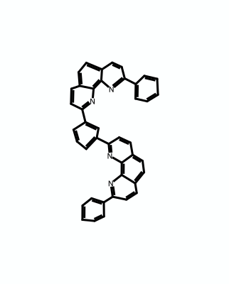 c1ccc(-c2ccc3ccc4ccc(-c5cccc(-c6ccc7ccc8ccc(-c9ccccc9)nc8c7n6)c5)nc4c3n2)cc1